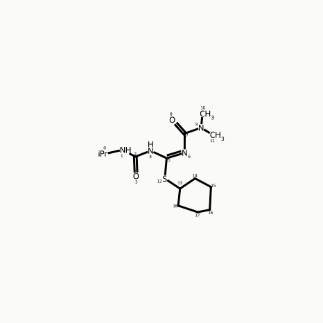 CC(C)NC(=O)NC(=NC(=O)N(C)C)SC1CCCCC1